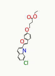 CCOC(=O)CCCOc1ccc2cc(-c3ccc4ccc(Cl)cc4n3)oc2c1